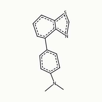 CN(C)c1ccc(-c2cccc3scnc23)cc1